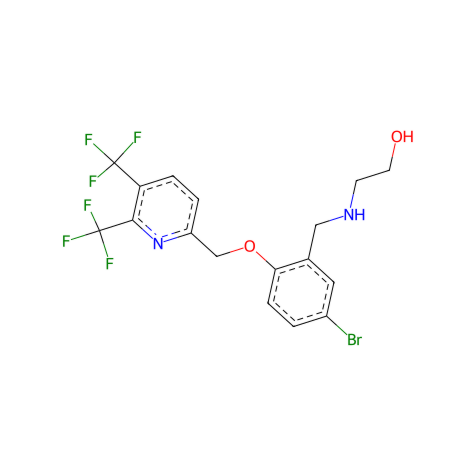 OCCNCc1cc(Br)ccc1OCc1ccc(C(F)(F)F)c(C(F)(F)F)n1